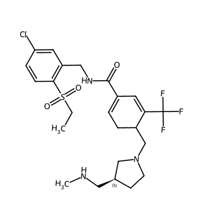 CCS(=O)(=O)c1ccc(Cl)cc1CNC(=O)C1=CCC(CN2CC[C@@H](CNC)C2)C(C(F)(F)F)=C1